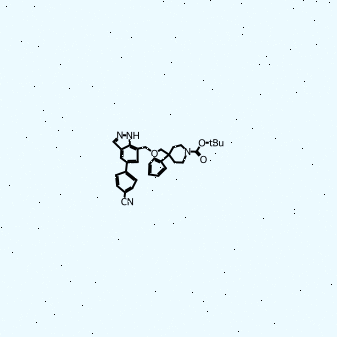 CC(C)(C)OC(=O)N1CCC(COCc2cc(-c3ccc(C#N)cc3)cc3cn[nH]c23)(c2ccccc2)CC1